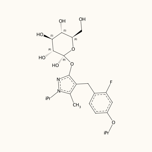 Cc1c(Cc2ccc(OC(C)C)cc2F)c(O[C@]2(O)O[C@H](CO)[C@@H](O)[C@H](O)[C@H]2O)nn1C(C)C